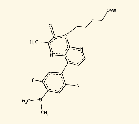 COCCCCn1c(=O)c(C)nc2c(-c3cc(F)c(N(C)C)cc3Cl)ccnc21